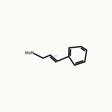 CNC/C=C/c1ccccc1